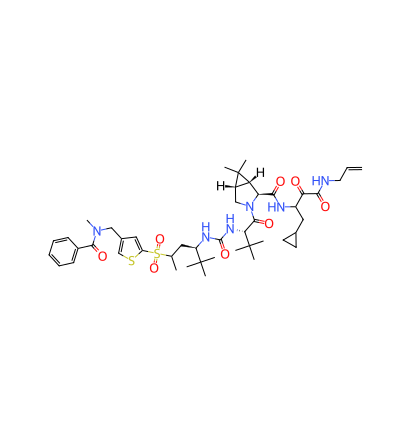 C=CCNC(=O)C(=O)C(CC1CC1)NC(=O)[C@@H]1[C@@H]2[C@H](CN1C(=O)[C@@H](NC(=O)N[C@H](CC(C)S(=O)(=O)c1cc(CN(C)C(=O)c3ccccc3)cs1)C(C)(C)C)C(C)(C)C)C2(C)C